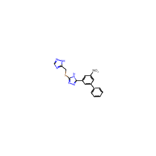 O=[N+]([O-])c1cc(-c2ccccc2)cc(-c2nnc(SCc3ncn[nH]3)[nH]2)c1